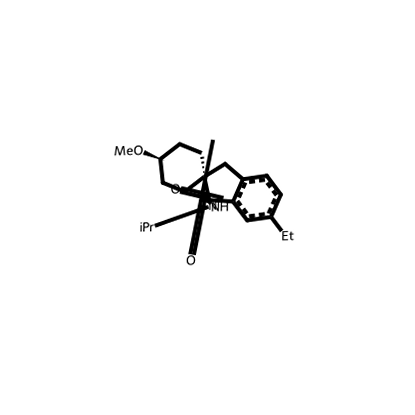 CCc1ccc2c(c1)C1(NC(=O)N(C(C)C)C1=O)[C@]1(CC[C@H](OC)CC1)C2